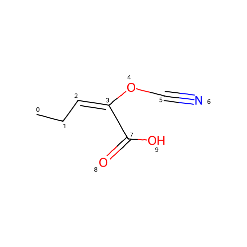 CC/C=C(/OC#N)C(=O)O